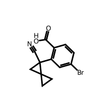 N#CC1(c2cc(Br)ccc2C(=O)O)CC12CC2